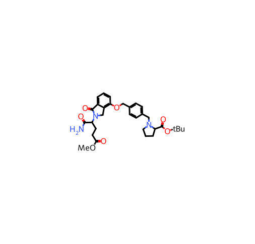 COC(=O)CCC(C(N)=O)N1Cc2c(OCc3ccc(CN4CCCC4C(=O)OC(C)(C)C)cc3)cccc2C1=O